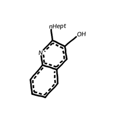 CCCCCCCc1nc2ccccc2cc1O